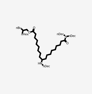 CCCCCCCCCCNC(CCCCCCCCC(=O)OCC(CCCC)CCCCCC)CCCCCCCCC(=O)N(CCCCCCCCCC)CCCCCCCCCC